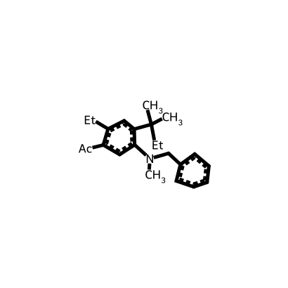 CCc1cc(C(C)(C)CC)c(N(C)Cc2ccccc2)cc1C(C)=O